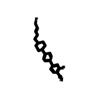 N#Cc1ccc(-c2ccc(C3CCC(CC/C=C/CF)CC3)cc2)cc1F